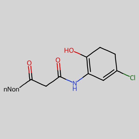 CCCCCCCCCC(=O)CC(=O)NC1=C(O)CCC(Cl)=C1